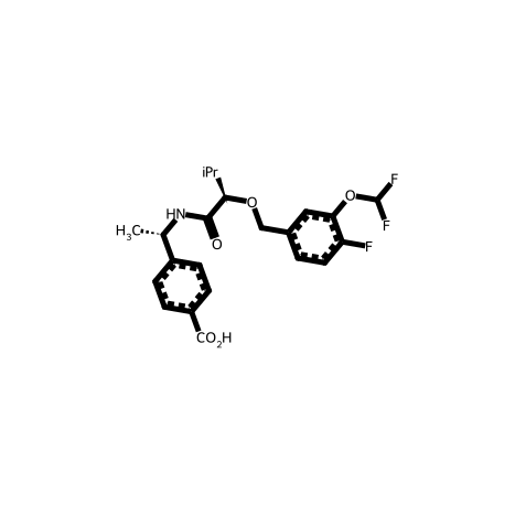 CC(C)[C@@H](OCc1ccc(F)c(OC(F)F)c1)C(=O)N[C@@H](C)c1ccc(C(=O)O)cc1